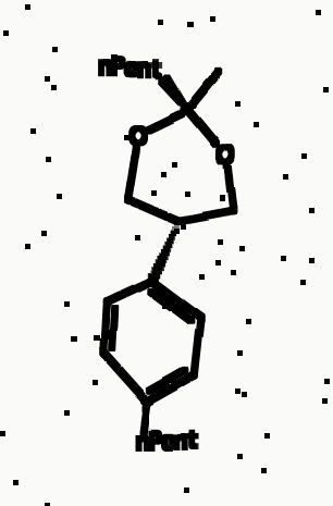 CCCCCc1ccc([C@H]2CO[C@](C)(CCCCC)OC2)cc1